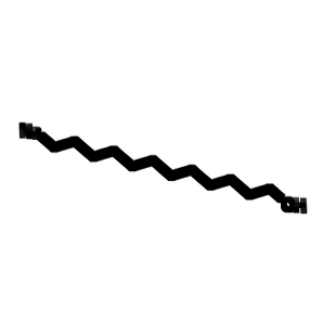 OCCCCCCCCCCC[CH2][Na]